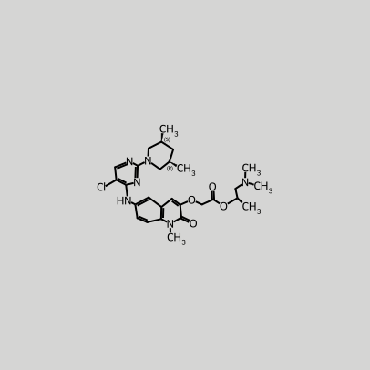 CC(CN(C)C)OC(=O)COc1cc2cc(Nc3nc(N4C[C@H](C)C[C@H](C)C4)ncc3Cl)ccc2n(C)c1=O